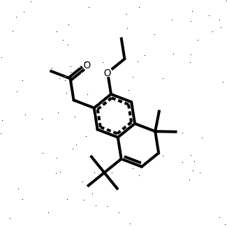 CCOc1cc2c(cc1CC(C)=O)C(C(C)(C)C)=CCC2(C)C